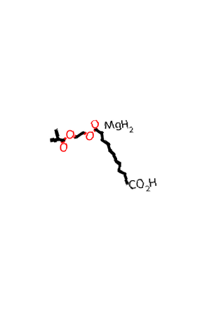 C=C(C)C(=O)OCCOC(=O)CCCCCCCCCCC(=O)O.[MgH2]